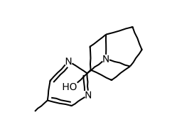 Cc1cnc(N2C3CCC2CC(O)C3)nc1